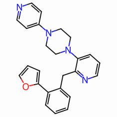 c1coc(-c2ccccc2Cc2ncccc2N2CCN(c3ccncc3)CC2)c1